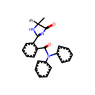 CC(C)C1(C)NC(c2ccccc2C(=O)N(c2ccccc2)c2ccccc2)=NC1=O